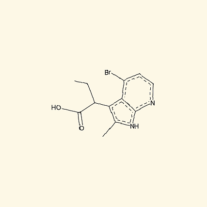 CCC(C(=O)O)c1c(C)[nH]c2nccc(Br)c12